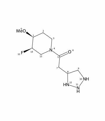 CO[C@H]1CCN(C(=O)CC2CNNN2)C[C@H]1F